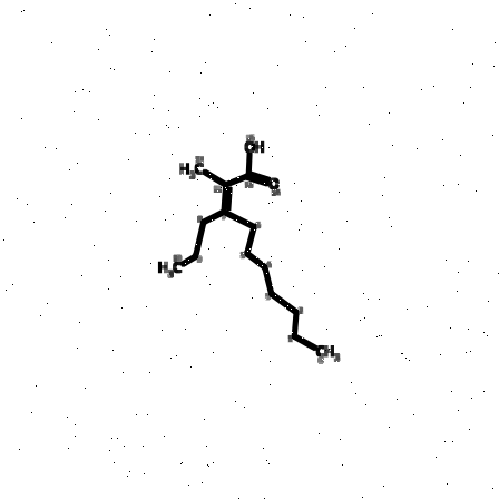 CCCCCCC/C(CCC)=C(/C)C(=O)O